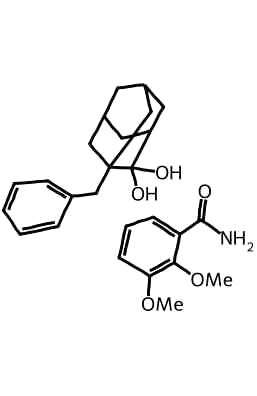 COc1cccc(C(N)=O)c1OC.OC1(O)C2CC3CC(C2)CC1(Cc1ccccc1)C3